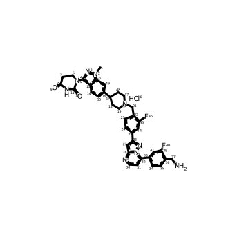 Cl.Cn1nc(N2CCC(=O)NC2=O)c2ccc(C3CCN(Cc4ccc(-c5cc6nccc(-c7ccc(CN)c(F)c7)n6n5)cc4F)CC3)cc21